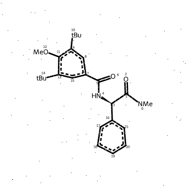 CNC(=O)[C@H](NC(=O)c1cc(C(C)(C)C)c(OC)c(C(C)(C)C)c1)c1ccccc1